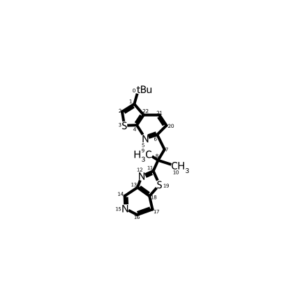 CC(C)(C)c1csc2nc(CC(C)(C)c3nc4cnccc4s3)ccc12